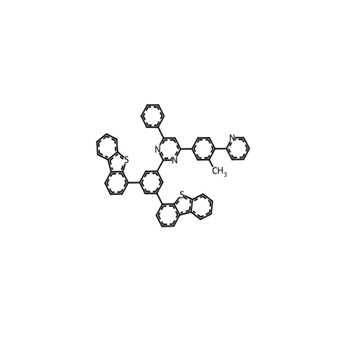 Cc1cc(-c2cc(-c3ccccc3)nc(-c3cc(-c4cccc5c4sc4ccccc45)cc(-c4cccc5c4sc4ccccc45)c3)n2)ccc1-c1ccccn1